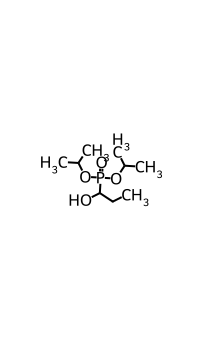 CCC(O)P(=O)(OC(C)C)OC(C)C